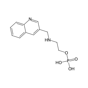 O=P(O)(O)OCCNCc1cnc2ccccc2c1